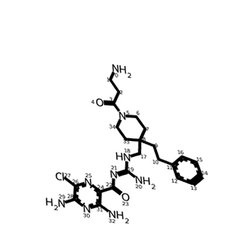 NCCC(=O)N1CCC(CCc2cc#ccc2)(CN/C(N)=N/C(=O)c2nc(Cl)c(N)nc2N)CC1